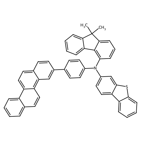 CC1(C)c2ccccc2-c2c(N(c3ccc(-c4ccc5ccc6c7ccccc7ccc6c5c4)cc3)c3ccc4c(c3)sc3ccccc34)cccc21